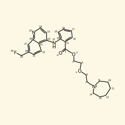 O=C(OCCOCCN1CCCCCC1)c1ccccc1Nc1ccnc2cc(CF)ccc12